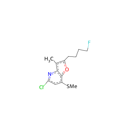 CSc1cc(Cl)nc2c(C)c(CCCCF)oc12